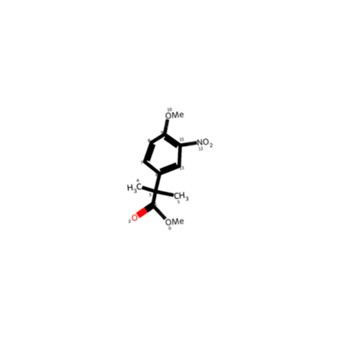 COC(=O)C(C)(C)c1ccc(OC)c([N+](=O)[O-])c1